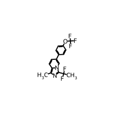 Cc1nc(C(C)(F)F)n2cc(-c3ccc(OC(F)(F)F)cc3)ccc12